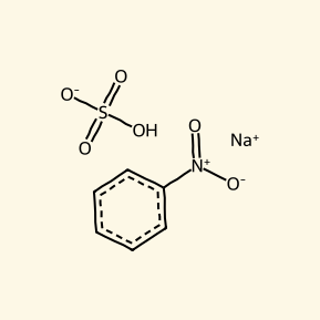 O=S(=O)([O-])O.O=[N+]([O-])c1ccccc1.[Na+]